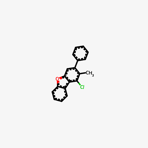 Cc1c(-c2ccccc2)cc2oc3ccccc3c2c1Cl